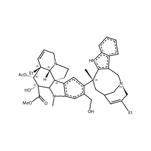 CCC1=CC2C[N@](C1)Cc1c([nH]c3ccccc13)[C@@](C)(c1cc3c(cc1CO)N(C)C1[C@]34CCN3CC=C[C@@](CC)([C@@H](OC(C)=O)[C@]1(O)C(=O)OC)[C@H]34)C2